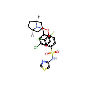 O=S(=O)(Nc1cscn1)c1ccc(OC2C[C@H]3CC[C@@H](C2)N3Cc2cc(Cl)ccc2F)c(Cl)c1